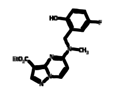 CCOC(=O)c1cnn2ccc(N(C)Cc3cc(F)ccc3O)nc12